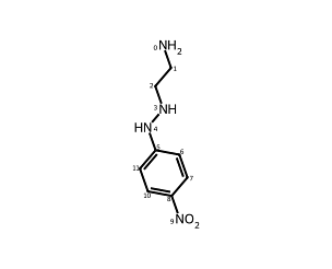 NCCNNc1ccc([N+](=O)[O-])cc1